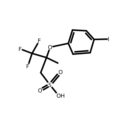 CC(CS(=O)(=O)O)(Oc1ccc(I)cc1)C(F)(F)F